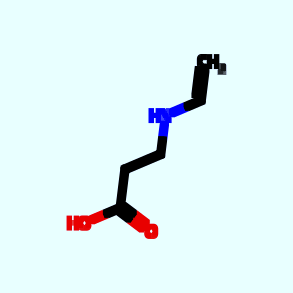 C=CNCCC(=O)O